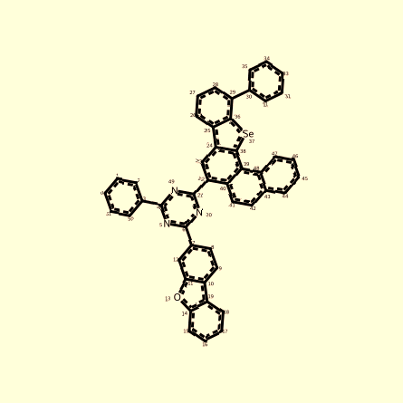 c1ccc(-c2nc(-c3ccc4c(c3)oc3ccccc34)nc(-c3cc4c5cccc(-c6ccccc6)c5[se]c4c4c3ccc3ccccc34)n2)cc1